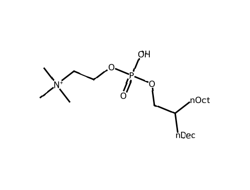 CCCCCCCCCCC(CCCCCCCC)COP(=O)(O)OCC[N+](C)(C)C